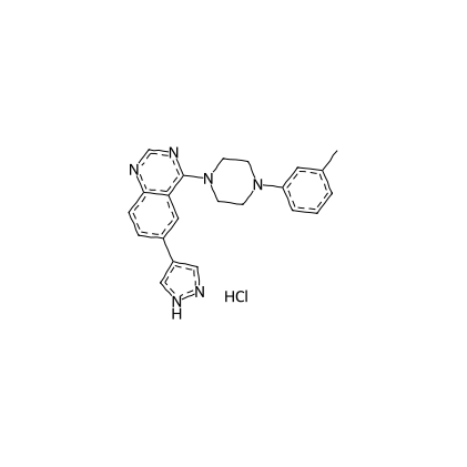 Cc1cccc(N2CCN(c3ncnc4ccc(-c5cn[nH]c5)cc34)CC2)c1.Cl